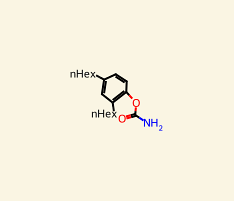 CCCCCCc1ccc(OC(N)=O)c(CCCCCC)c1